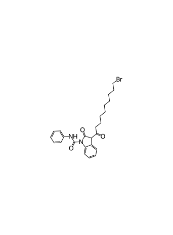 O=C(CCCCCCCCCBr)C1C(=O)N(C(=O)Nc2ccccc2)c2ccccc21